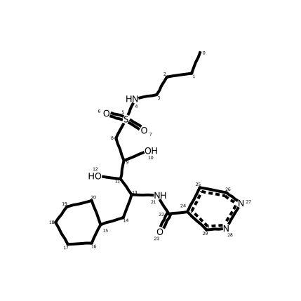 CCCCNS(=O)(=O)CC(O)C(O)C(CC1CCCCC1)NC(=O)c1ccnnc1